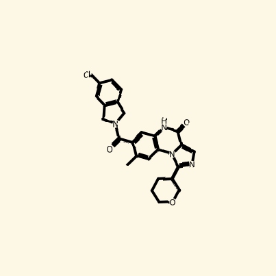 Cc1cc2c(cc1C(=O)N1Cc3ccc(Cl)cc3C1)[nH]c(=O)c1cnc(C3CCCOC3)n12